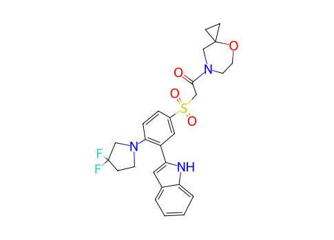 O=C(CS(=O)(=O)c1ccc(N2CCC(F)(F)C2)c(-c2cc3ccccc3[nH]2)c1)N1CCOC2(CC2)C1